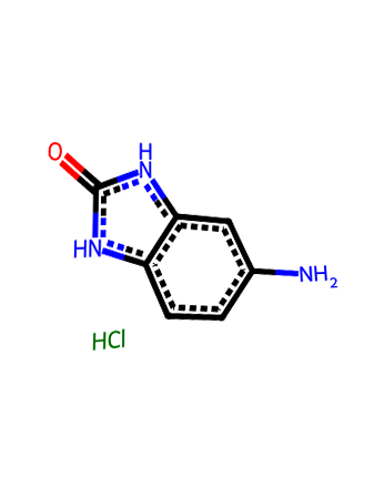 Cl.Nc1ccc2[nH]c(=O)[nH]c2c1